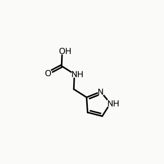 O=C(O)NCc1cc[nH]n1